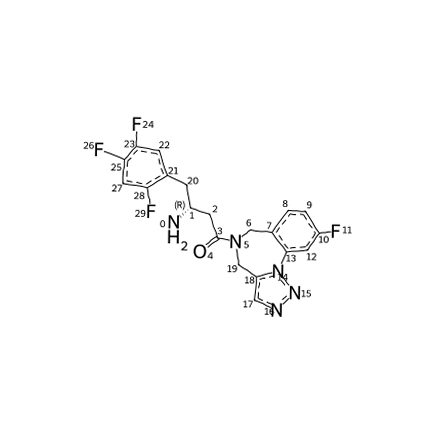 N[C@@H](CC(=O)N1Cc2ccc(F)cc2-n2nncc2C1)Cc1cc(F)c(F)cc1F